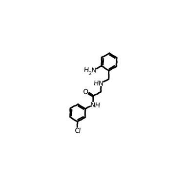 Nc1ccccc1CNCC(=O)Nc1cccc(Cl)c1